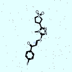 Cn1c(S/C=C/C(=O)c2ccc(F)cc2)nnc1C1CCS(=O)(=O)C1